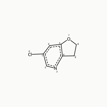 Clc1cnc2c(c1)OC[CH]2